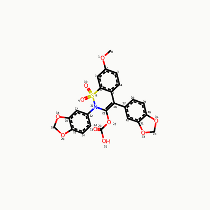 COc1ccc2c(c1)S(=O)(=O)N(c1ccc3c(c1)OCO3)C(OC(=O)O)=C2c1ccc2c(c1)OCO2